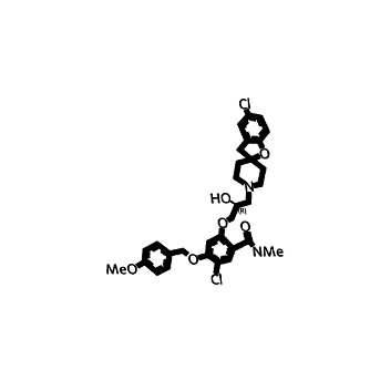 CNC(=O)c1cc(Cl)c(OCc2ccc(OC)cc2)cc1OC[C@H](O)CN1CCC2(CC1)Cc1cc(Cl)ccc1O2